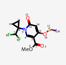 COC(=O)c1cn(C2(C(F)F)CC2)c(=O)cc1OSI